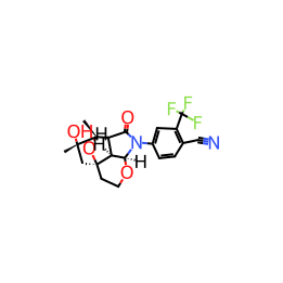 C[C@]1(O)C[C@@]23CCO[C@H]4[C@@H]2[C@H](C(=O)N4c2ccc(C#N)c(C(F)(F)F)c2)[C@]1(C)O3